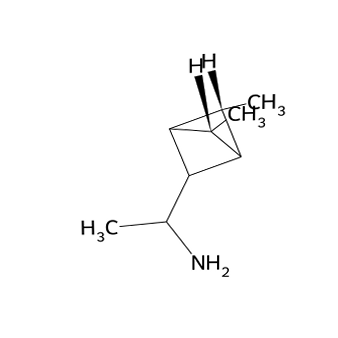 CC(N)C1C2[C@H](C)C1[C@H]2C